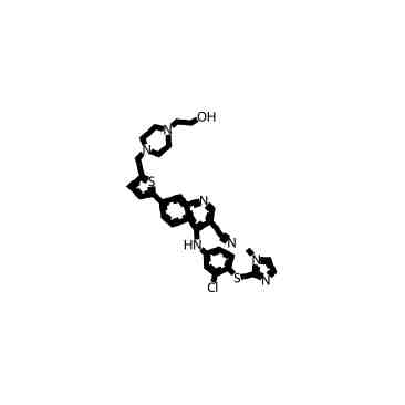 Cn1ccnc1Sc1ccc(Nc2c(C#N)cnc3cc(-c4ccc(CN5CCN(CCO)CC5)s4)ccc23)cc1Cl